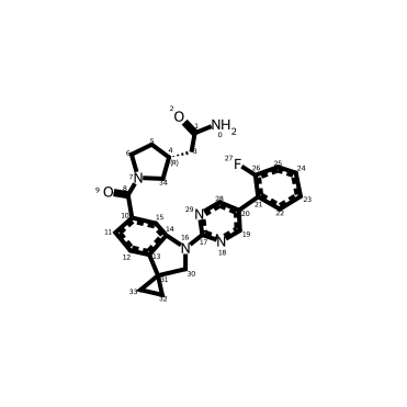 NC(=O)C[C@H]1CCN(C(=O)c2ccc3c(c2)N(c2ncc(-c4ccccc4F)cn2)CC32CC2)C1